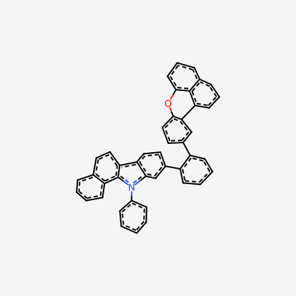 c1ccc(-n2c3cc(-c4ccccc4-c4ccc5c(c4)-c4cccc6cccc(c46)O5)ccc3c3ccc4ccccc4c32)cc1